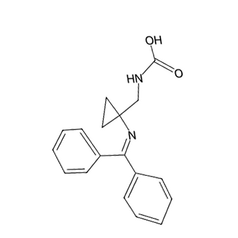 O=C(O)NCC1(N=C(c2ccccc2)c2ccccc2)CC1